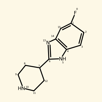 Fc1ccc2[nH]c(C3CCNCC3)nc2c1